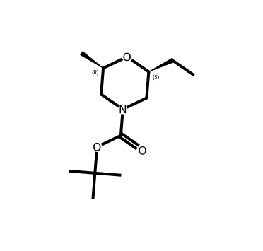 CC[C@H]1CN(C(=O)OC(C)(C)C)C[C@@H](C)O1